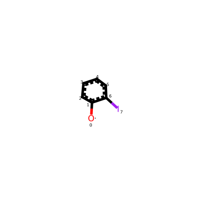 [O]c1ccccc1I